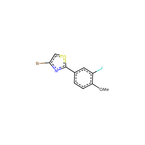 COc1ccc(-c2nc(Br)cs2)cc1F